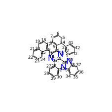 c1ccc(-c2ccccc2-c2nc3c(nc2-c2cccc4ccccc24)c2ccccc2n2c4ccccc4nc32)cc1